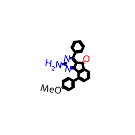 COc1ccc(-c2cccc3c2-c2nc(N)nc(-c4ccccc4)c2C3=O)cc1